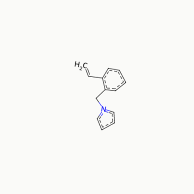 C=Cc1ccccc1Cn1cccc1